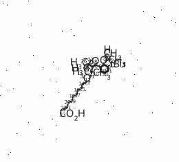 C[SiH](C)Oc1c(C2=C(C(C)(C)COCCCCCCCCCCC(=O)O)C(C)(C)CO2)cccc1C(C)(C)C